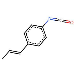 CC=Cc1ccc(N=C=O)cc1